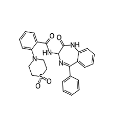 O=C(NC1N=C(c2ccccc2)c2ccccc2NC1=O)c1ccccc1N1CCS(=O)(=O)CC1